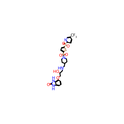 O=c1[nH]c2cccc(OC[C@@H](O)CNCC3CCN(S(=O)(=O)c4ccc(S(=O)(=O)c5ccc(C(F)(F)F)cn5)s4)CC3)c2[nH]1